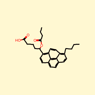 CCCCc1ccc2ccc3ccc(C(CCCC(=O)O)OC(=O)CCC)c4ccc1c2c34